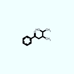 CC(O)C(C)CC(=O)c1ccccc1